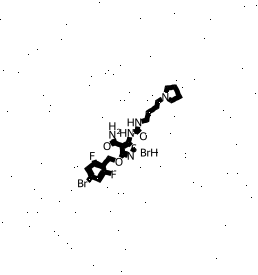 Br.NC(=O)c1c(OCc2c(F)cc(Br)cc2F)nsc1NC(=O)NCCCCN1CCCC1